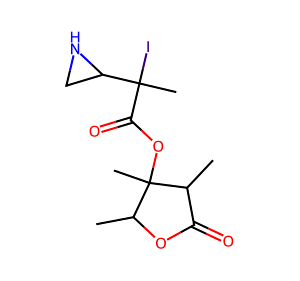 CC1OC(=O)C(C)C1(C)OC(=O)C(C)(I)C1CN1